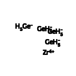 [GeH5-].[GeH5-].[GeH5-].[GeH5-].[Zr+4]